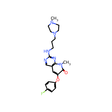 CN1CCN(CCCNc2ncc3cc(Oc4ccc(F)cc4)c(=O)n(C)c3n2)CC1